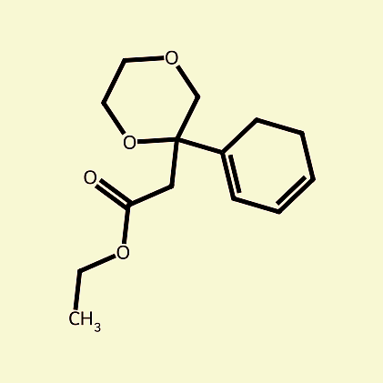 CCOC(=O)CC1(C2=CC=CCC2)COCCO1